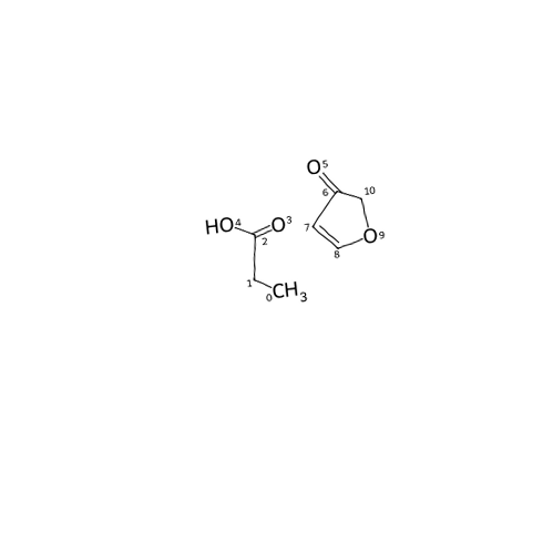 CCC(=O)O.O=C1C=COC1